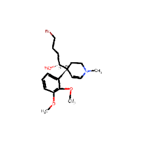 COc1cccc([C@]2([C@H](O)CCCBr)C=CN(C)CC2)c1OC